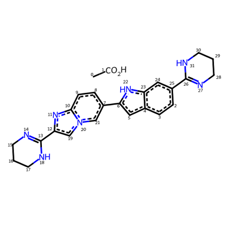 CC(=O)O.c1cc2cc(-c3ccc4nc(C5=NCCCN5)cn4c3)[nH]c2cc1C1=NCCCN1